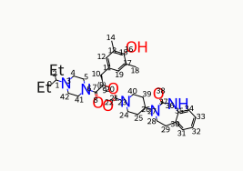 CCC(CC)N1CCN(C(=O)[C@@H](Cc2cc(C)c(O)c(C)c2)OC(=O)N2CCC(N3CCc4ccccc4NC3=O)CC2)CC1